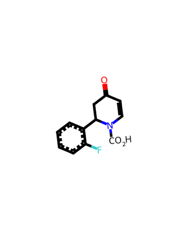 O=C1C=CN(C(=O)O)C(c2ccccc2F)C1